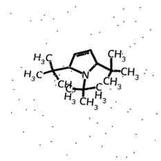 CC(C)(C)C1C=CC(C(C)(C)C)N1C(C)(C)C